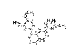 COc1ccc(C2=CCCc3ccc(C(=O)N=C(N)N)cc32)cc1C#N